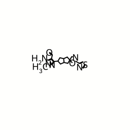 Cn1nc(C2CC3CC4(CN=C(c5cscn5)O4)CC3C2)c(C=O)c1N